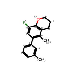 Cc1cccc(-c2cc(F)c3c(c2C)CCCO3)c1